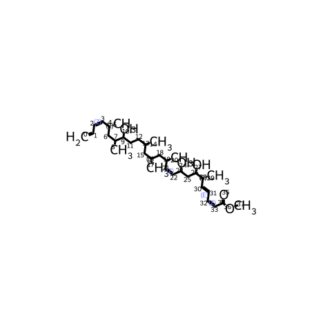 C=C/C=C\[C@H](C)CC(C)C(O)CCC(C)C[C@H](C)CC(C)/C=C\C(O)CC(O)[C@H](C)/C=C/C=C\C(=O)OC